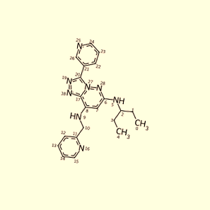 CCC(CC)Nc1cc(NCc2ccccn2)c2nnc(-c3cccnc3)n2n1